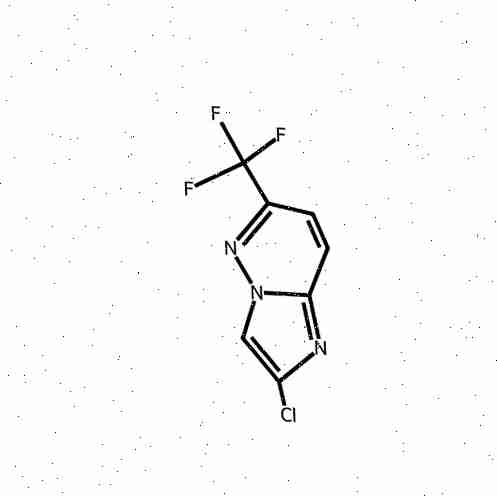 FC(F)(F)c1ccc2nc(Cl)cn2n1